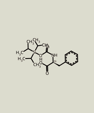 CC(C)[Si](OC(=O)N[C@@H](Cc1ccccc1)C(=O)O)(C(C)C)C(C)C